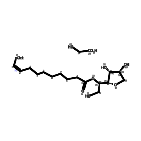 CCCCCCCC/C=C\CCCCCCCC(=O)O[C@H](CO)[C@H]1OC[C@H](O)[C@H]1O.O=C(O)CO